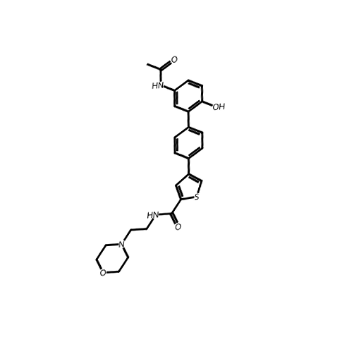 CC(=O)Nc1ccc(O)c(-c2ccc(-c3csc(C(=O)NCCN4CCOCC4)c3)cc2)c1